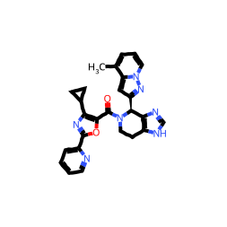 Cc1cccn2nc([C@H]3c4nc[nH]c4CCN3C(=O)c3oc(-c4ccccn4)nc3C3CC3)cc12